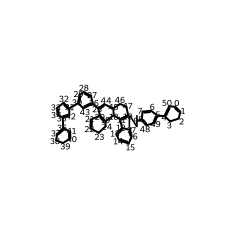 C1=CCCC(c2ccc(-n3c4c(c5ccccc53)C3C5=C(C=CCC5)C(c5cccc(-c6cccc(C7=CCCC=C7)c6)c5)=CC3CC4)cc2)=C1